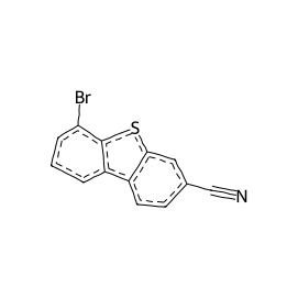 N#Cc1ccc2c(c1)sc1c(Br)cccc12